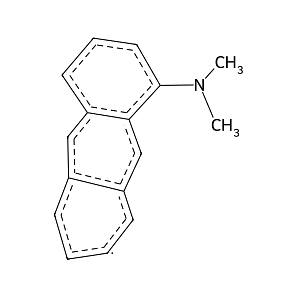 CN(C)c1cccc2cc3cc[c]cc3cc12